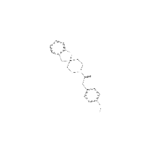 COc1ccc(CC(=O)N2CCC3(CC2)Cc2ccccc2O3)cc1